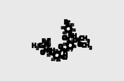 COC(C)Oc1ccc(NC(=O)c2cc(CNC(=O)C(C)C(F)(F)F)ccc2Cl)cc1C(=O)Nc1ccc(Br)cc1